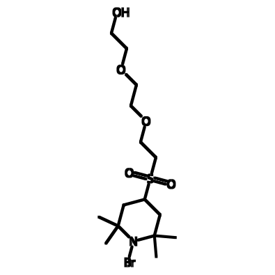 CC1(C)CC(S(=O)(=O)CCOCCOCCO)CC(C)(C)N1Br